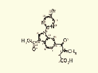 CN(CC(=O)O)C(=O)c1ccc2c([S+](C)[O-])cn(-c3ncc(Br)cn3)c2c1